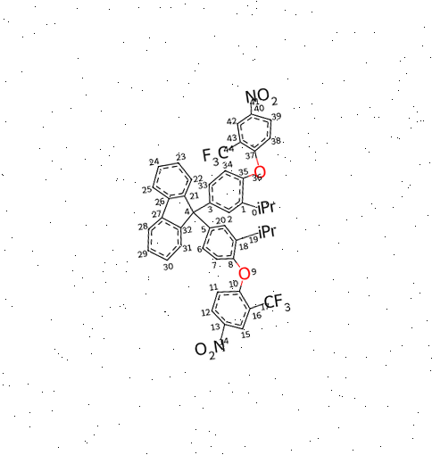 CC(C)c1cc(C2(c3ccc(Oc4ccc([N+](=O)[O-])cc4C(F)(F)F)c(C(C)C)c3)c3ccccc3-c3ccccc32)ccc1Oc1ccc([N+](=O)[O-])cc1C(F)(F)F